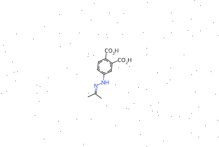 CC(C)=NNc1ccc(C(=O)O)c(C(=O)O)c1